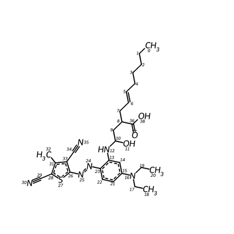 CCCCC/C=C/CC(CC(O)Nc1cc(N(CC)CC)ccc1/N=N/c1sc(C#N)c(C)c1C#N)C(=O)O